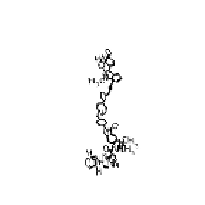 CN(C)c1cc2c(cc1NC(=O)c1cnn3ccc(N4C[C@H]5C[C@@H]4CO5)nc13)CN(C1CCC(CN3CCC(OCC#Cc4cccc5c(C6CCC(=O)NC6=O)nn(C)c45)CC3)CC1)C2=O